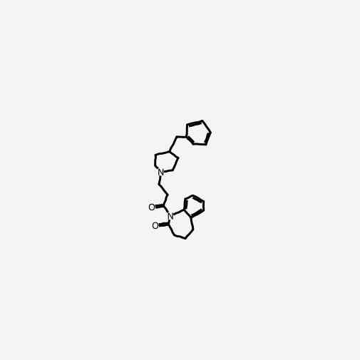 O=C1CCCc2ccccc2N1C(=O)CCN1CCC(Cc2ccccc2)CC1